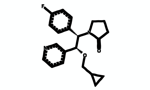 O=C1CCCN1[C@@H](c1ccc(F)cc1)[C@H](OCC1CC1)c1cccnc1